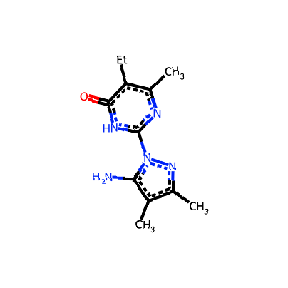 CCc1c(C)nc(-n2nc(C)c(C)c2N)[nH]c1=O